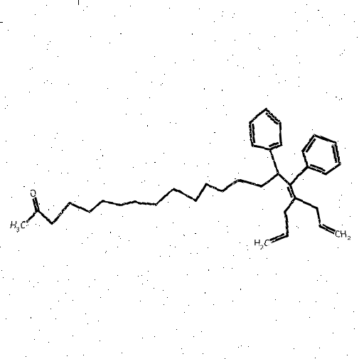 C=CCC(CC=C)=C(c1ccccc1)C(CCCCCCCCCCCCCC(C)=O)c1ccccc1